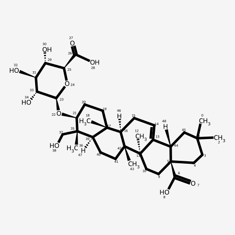 CC1(C)CC[C@]2(C(=O)O)CC[C@]3(C)C(=CC[C@@H]4[C@@]5(C)CC[C@H](O[C@@H]6O[C@H](C(=O)O)[C@@H](O)[C@H](O)[C@H]6O)[C@@](C)(CO)[C@@H]5CC[C@]43C)[C@@H]2C1